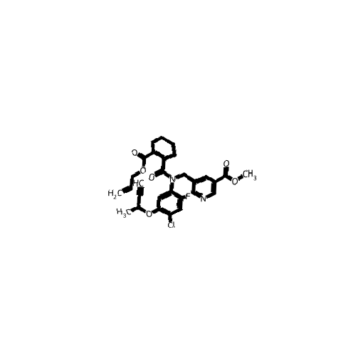 C#CC(C)Oc1cc(N(Cc2cncc(C(=O)OC)c2)C(=O)C2=C(C(=O)OCC=C)CCCC2)c(F)cc1Cl